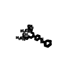 C[SiH](C)OCCN(CCO[SiH](C)C)c1ccc(N=Nc2ccccc2)cc1